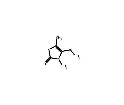 CCc1c(C)sc(=O)n1C